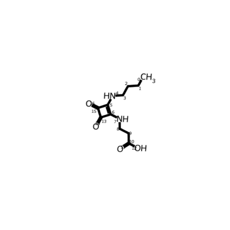 CCCCNc1c(NCCC(=O)O)c(=O)c1=O